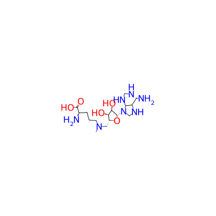 CN(CCC[C@@H](N)C(=O)O)C[C@H]1O[C@@H](N2CNC3C(N)NCNC32)[C@H](O)[C@@H]1O